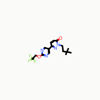 CC(C)(C)CCn1nc(-c2cnc(OCC(F)(F)F)nc2)ccc1=O